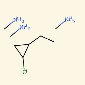 CCC1[CH]C1Cl.CN.CN.CN